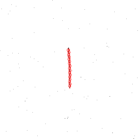 C=CCOCCOCCOCCOCCOCCOCCOCCOCCOCCOCCOCCOCCOCCOCCOCCOCCOCC=C